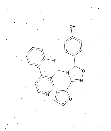 Oc1ccc(C2ON=C(c3ccco3)N2Cc2cnccc2-c2ccccc2F)cc1